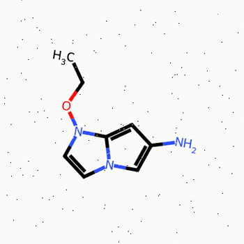 CCOn1ccn2cc(N)cc12